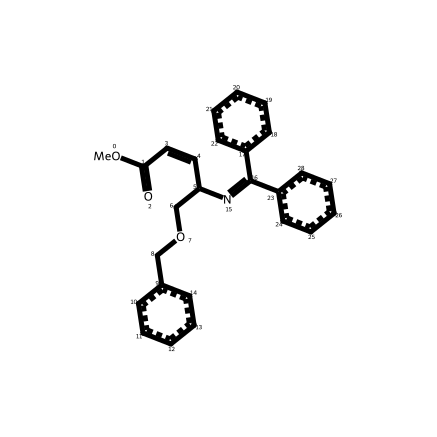 COC(=O)/C=C\C(COCc1ccccc1)N=C(c1ccccc1)c1ccccc1